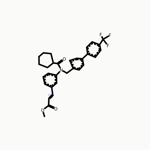 COC(=O)/C=C/c1cccc(N(Cc2ccc(-c3ccc(C(F)(F)F)cc3)cc2)C(=O)C2CCCCC2)c1